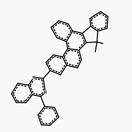 CC1(C)c2ccccc2-c2c1c1ccc3cc(-c4nc(-c5ccccc5)c5ccccc5n4)ccc3c1c1ccccc21